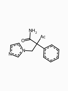 CC(=O)C(Cn1ccnc1)(C(N)=O)c1ccccc1